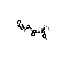 Cc1ccc(-n2nc(C(C)(C)C)cc2NC(=O)Nc2ccc(OCc3ccnc(Nc4cnc(C(=O)N5CCCCC5)cn4)c3)c3ccccc23)cc1